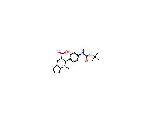 CN1C2CCCC2CC(C(=O)O)C1c1ccc(NC(=O)OC(C)(C)C)cc1